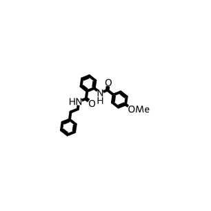 COc1ccc(C(=O)Nc2ccccc2C(=O)NCCc2ccccc2)cc1